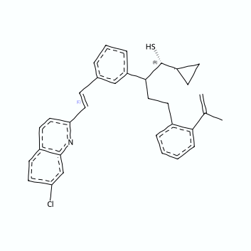 C=C(C)c1ccccc1CCC(c1cccc(/C=C/c2ccc3ccc(Cl)cc3n2)c1)[C@H](S)[C]1CC1